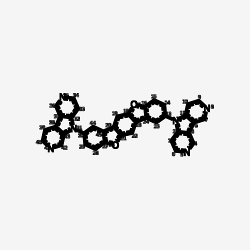 c1cc2c(cn1)c1cnccc1n2-c1ccc2oc3cc4c(cc3c2c1)oc1ccc(-n2c3ccncc3c3ccncc32)cc14